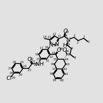 CCCCN(CCCC)C(=O)c1cc(C)n(-c2ccc(NC(=O)Cc3cccc(Cl)c3)cc2C(=O)C2Cc3ccccc3C[C@H]2CO)n1